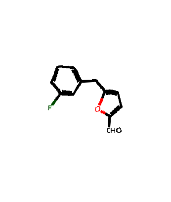 O=Cc1ccc(Cc2cccc(F)c2)o1